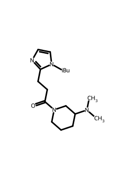 CCC(C)n1ccnc1CCC(=O)N1CCCC(N(C)C)C1